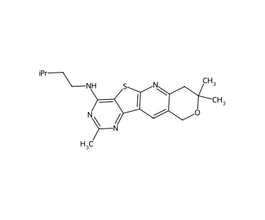 Cc1nc(NCCC(C)C)c2sc3nc4c(cc3c2n1)COC(C)(C)C4